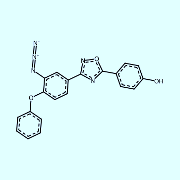 [N-]=[N+]=Nc1cc(-c2noc(-c3ccc(O)cc3)n2)ccc1Oc1ccccc1